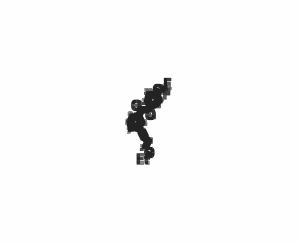 CCOCCC#Cc1cccc(C(=O)C(=O)c2ccc(OC(F)F)cc2)c1